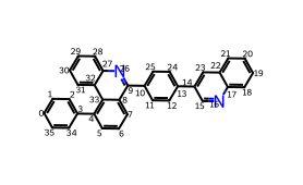 c1ccc(-c2cccc3c(-c4ccc(-c5cnc6ccccc6c5)cc4)nc4ccccc4c23)cc1